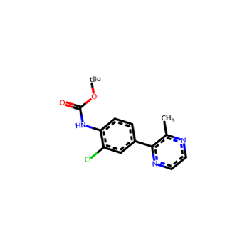 Cc1nccnc1-c1ccc(NC(=O)OC(C)(C)C)c(Cl)c1